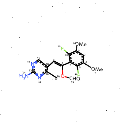 COc1cc(OC)c(F)c(/C(=C/c2cnc(N)nc2C)OC=O)c1F